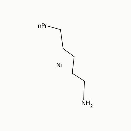 CCCCCCCCN.[Ni]